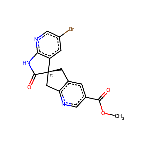 COC(=O)c1cnc2c(c1)C[C@@]1(C2)C(=O)Nc2ncc(Br)cc21